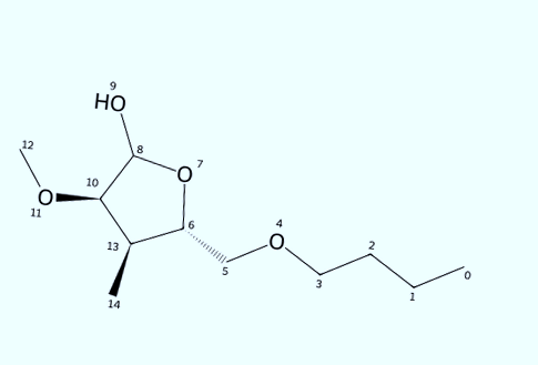 CCCCOC[C@H]1OC(O)[C@H](OC)[C@@H]1C